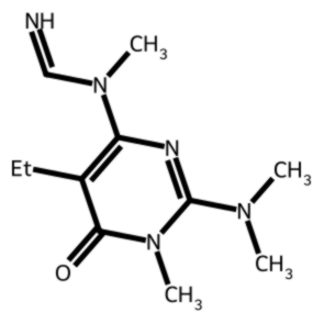 CCc1c(N(C)C=N)nc(N(C)C)n(C)c1=O